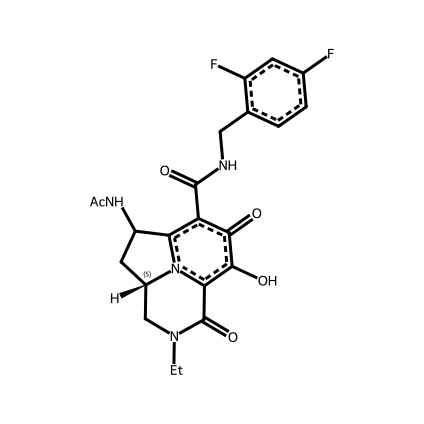 CCN1C[C@@H]2CC(NC(C)=O)c3c(C(=O)NCc4ccc(F)cc4F)c(=O)c(O)c(n32)C1=O